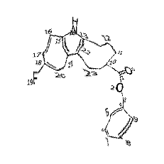 O=C(OCc1ccccc1)C1CCc2[nH]c3ccc(F)cc3c2C1